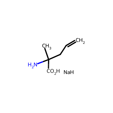 C=CCC(C)(N)C(=O)O.[NaH]